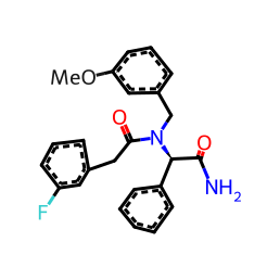 COc1cccc(CN(C(=O)Cc2cccc(F)c2)[C@@H](C(N)=O)c2ccccc2)c1